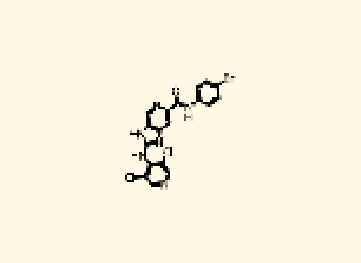 Cn1c(Nc2c(Cl)cncc2Cl)nc2cc(C(=O)Nc3ccc(Br)cc3)ncc21